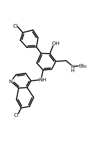 CC(C)(C)NCc1cc(Nc2ccnc3cc(Cl)ccc23)cc(-c2ccc(Cl)cc2)c1O